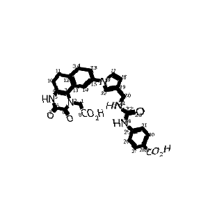 O=C(O)Cn1c2c([nH]c(=O)c1=O)CCC1=C2C=C(n2ccc(CNC(=O)Nc3ccc(C(=O)O)cc3)c2)CC1